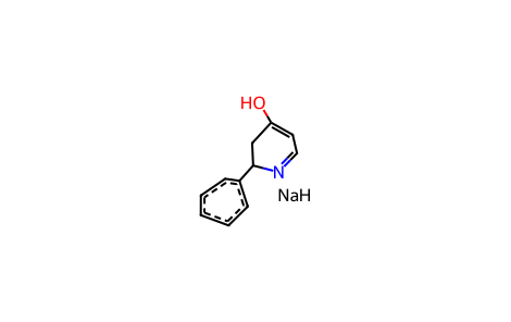 OC1=CC=NC(c2ccccc2)C1.[NaH]